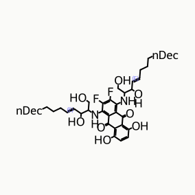 CCCCCCCCCCCCC/C=C/C(O)C(CO)Nc1c(F)c(F)c(NC(CO)C(O)/C=C/CCCCCCCCCCCCC)c2c1C(=O)c1c(O)ccc(O)c1C2=O